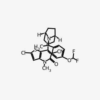 CC(c1ccc(OC(F)F)cc1)N1[C@@H]2CC[C@H]1CN(c1c(C#N)c(=O)n(C)c3cc(Cl)sc13)C2